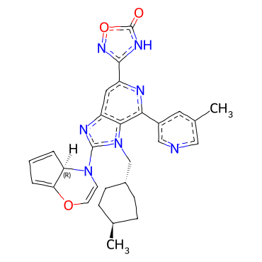 Cc1cncc(-c2nc(-c3noc(=O)[nH]3)cc3nc(N4C=COC5=CC=C[C@H]54)n(C[C@H]4CC[C@H](C)CC4)c23)c1